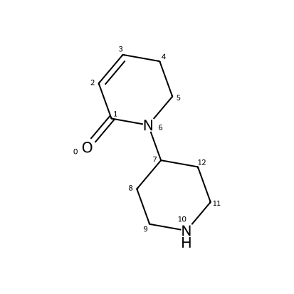 O=C1C=CCCN1C1CCNCC1